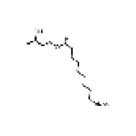 CCCCCCCCCCCCCCCCCC(=O)OCCC(C)O